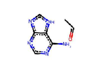 CC=O.Nc1ncnc2nc[nH]c12